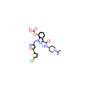 COC(=O)Oc1cccc2c(C(=O)NC3CCN(C(C)C)CC3)nn(Cc3cc(-c4ccc(Cl)s4)on3)c12